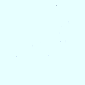 Cc1ccc2c(c1)N(C(=O)c1ccc3cccnc3c1O)CCC2